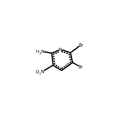 Nc1nc(Br)c(Br)cc1[N+](=O)[O-]